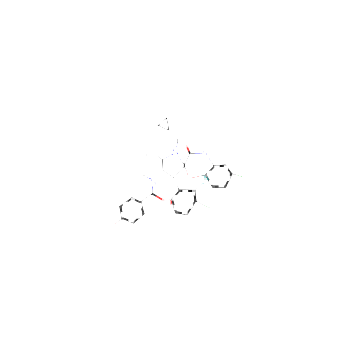 CCN(C(=O)c1ccc(O)cc1)[C@@H]1C(C)N(CC2CC2)C2(Oc3ccc(Cl)cc3NC2=O)[C@H]1c1cccc(Cl)c1F